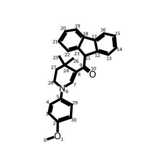 COc1ccc(N2C=C(C(=O)C3c4ccccc4-c4ccccc43)C(C)(C)CC2)cc1